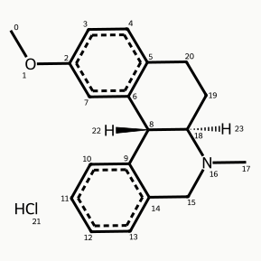 COc1ccc2c(c1)[C@H]1c3ccccc3CN(C)[C@@H]1CC2.Cl